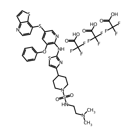 CN(C)CCNS(=O)(=O)N1CCC(c2csc(Nc3ncc(Sc4ccnc5ccsc45)cc3Oc3ccccc3)n2)CC1.O=C(O)C(F)(F)F.O=C(O)C(F)(F)F.O=C(O)C(F)(F)F